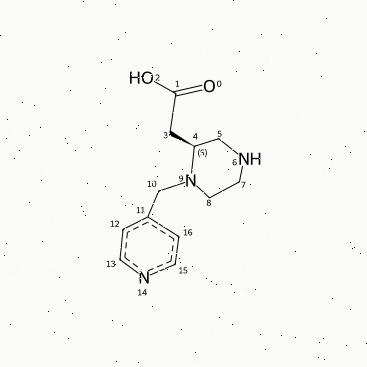 O=C(O)C[C@H]1CNCCN1Cc1ccncc1